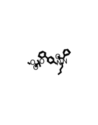 CCCCC1=NC(c2ccccc2)C(=O)N1Cc1ccc(-c2ccccc2OC(C)(C)C(=O)OCC)cc1